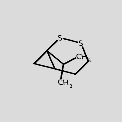 CC(C)C12CC1CCSS2